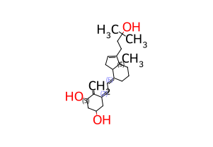 C=C1/C(=C\C=C2/CCC[C@]3(C)C(CCC(C)(C)O)=CCC23)CC(O)C[C@@H]1O